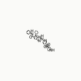 O=C(Nc1ccccc1)c1cc2cnc(Nc3ccc(S(=O)(=O)N4CCNCC4)cn3)nc2n1C1CCCC1